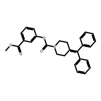 COC(=O)c1cccc(OC(=O)N2CCC(=C(c3ccccc3)c3ccccc3)CC2)c1